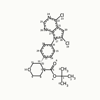 CC(C)(C)OC(=O)N1CCOC[C@@H]1c1ccc(-n2c(Cl)cc3c(Cl)ncnc32)cc1